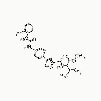 COC(=O)[C@H](NC(=O)c1cc(-c2ccc(NC(=O)Nc3ccccc3F)cc2)no1)C(C)C